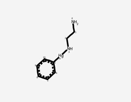 NCC[NH][Hg][c]1ccccc1